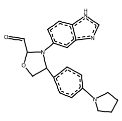 O=CC1OCC(c2ccc(N3CCCC3)cc2)N1c1ccc2[nH]cnc2c1